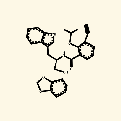 C#Cc1cccc(C(=O)N[C@@H](CO)Cc2c[nH]c3ccccc23)c1OC(C)C.c1ccc2c(c1)OCO2